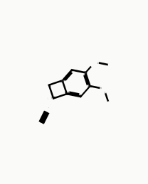 C#C[C@@H]1Cc2cc(OC)c(OC)cc21